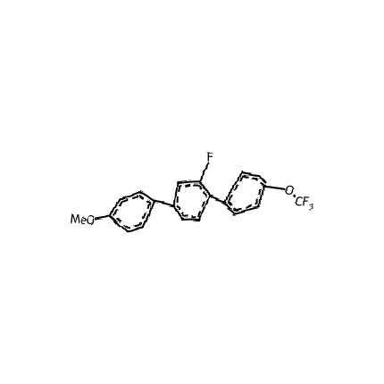 COc1ccc(-c2ccc(-c3ccc(OC(F)(F)F)cc3)c(F)c2)cc1